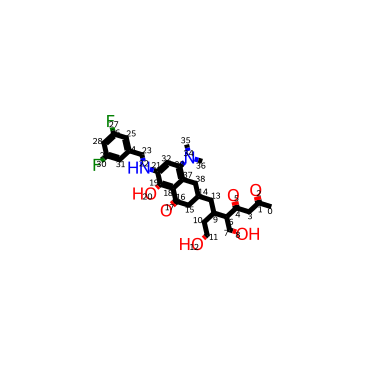 CC(=O)CC(=O)C(CO)C(CCO)CC1CC(=O)c2c(O)c(NCc3cc(F)cc(F)c3)cc(N(C)C)c2C1